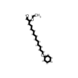 CCOC([C]=O)CCCCCCCCCCCCOC1CC[CH]CC1